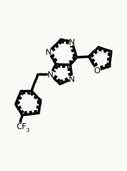 FC(F)(F)c1ccc(Cn2cnc3c(-c4ccco4)ncnc32)cc1